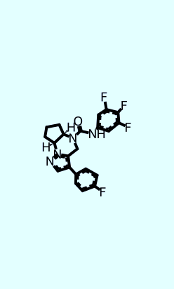 O=C(Nc1cc(F)c(F)c(F)c1)N1Cc2c(-c3ccc(F)cc3)cnn2[C@H]2CCC[C@H]21